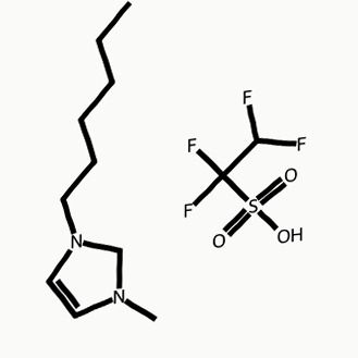 CCCCCCN1C=CN(C)C1.O=S(=O)(O)C(F)(F)C(F)F